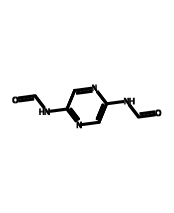 O=CNc1cnc(NC=O)cn1